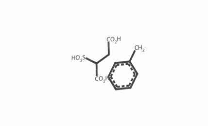 O=C(O)CC(C(=O)O)S(=O)(=O)O.[CH2]c1ccccc1